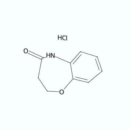 Cl.O=C1CCOc2ccccc2N1